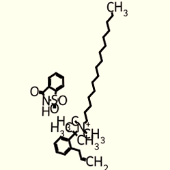 C=CCc1ccccc1C(C)(C)[N+](C)(C)CCCCCCCCCCCCCCCC.O=C1NS(=O)(=O)c2ccccc21